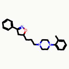 Cc1ccccc1N1CCN(CCCC2CC(c3ccccc3)=NO2)CC1